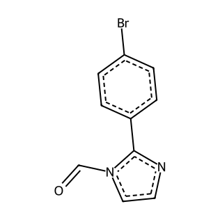 O=Cn1ccnc1-c1ccc(Br)cc1